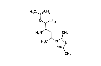 C=C(C)O/C(C)=C(\N)CC(C)n1cc(C)nc1C